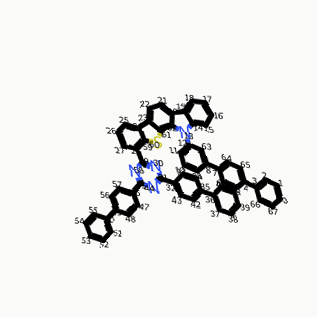 c1ccc(-c2ccc(-c3cccc(-n4c5ccccc5c5ccc6c7cccc(-c8nc(-c9ccc(-c%10ccccc%10)cc9)nc(-c9ccc(-c%10ccccc%10)cc9)n8)c7sc6c54)c3)cc2)cc1